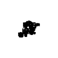 CCCn1cc(CCC(c2ccc(C)c(CN3C[C@@H](CC)Oc4ccccc4S3(=O)=O)c2)C(C)(C)C(=O)Nc2cccnc2)nn1